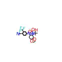 CC(C)(C)N(C(=O)O)[C@H]1CC2(CC[C@@H]1Nc1ccc(C#N)c(C(F)(F)F)c1)OCCO2